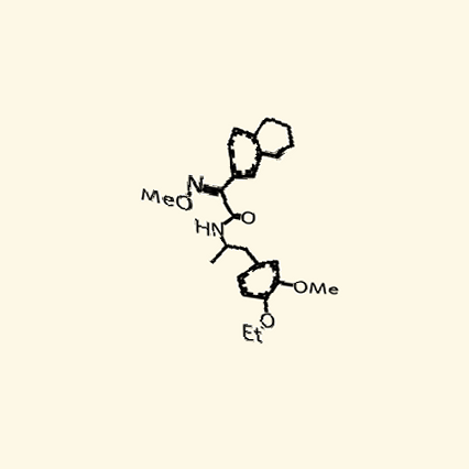 CCOc1ccc(CC(C)NC(=O)/C(=N\OC)c2ccc3c(c2)CCCC3)cc1OC